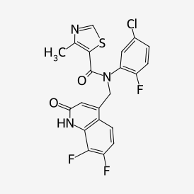 Cc1ncsc1C(=O)N(Cc1cc(=O)[nH]c2c(F)c(F)ccc12)c1cc(Cl)ccc1F